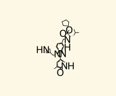 Cc1cc(-c2nc3cc(CN[C@@H](CC(C)C)C(=O)OC4CCCC4)ccc3n2CC2CNC2)c[nH]c1=O